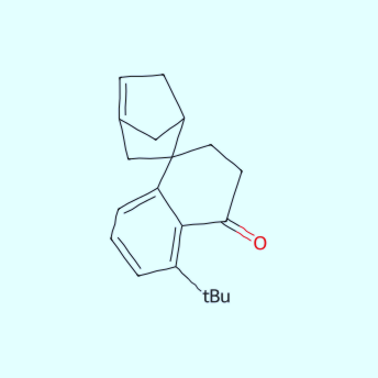 CC(C)(C)c1cccc2c1C(=O)CCC21CC2=CCC1C2